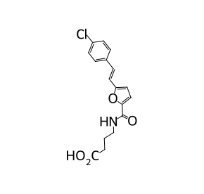 O=C(O)CCCNC(=O)c1ccc(/C=C/c2ccc(Cl)cc2)o1